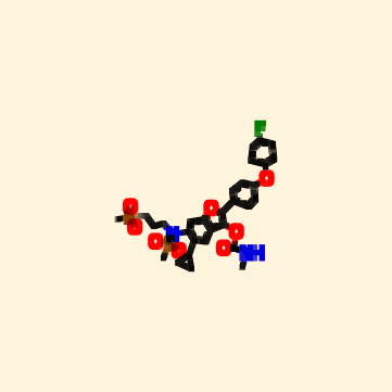 CNC(=O)Oc1c(-c2ccc(Oc3ccc(F)cc3)cc2)oc2cc(N(CCCS(C)(=O)=O)S(C)(=O)=O)c(C3CC3)cc12